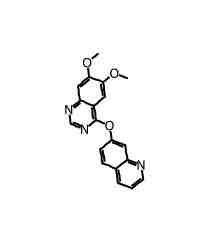 COc1cc2ncnc(Oc3ccc4cccnc4c3)c2cc1OC